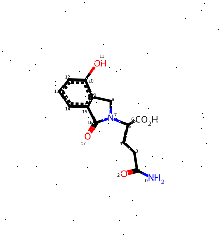 NC(=O)CCC(C(=O)O)N1Cc2c(O)cccc2C1=O